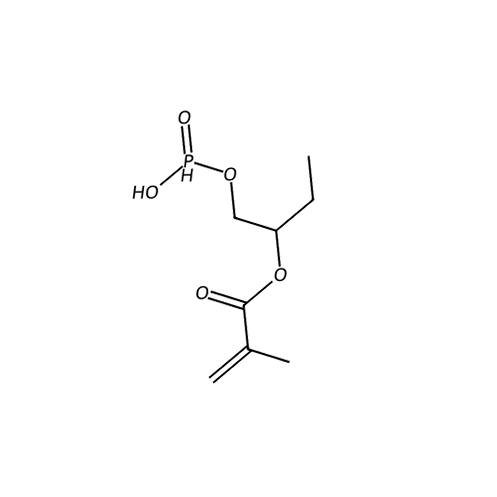 C=C(C)C(=O)OC(CC)CO[PH](=O)O